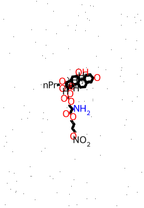 CCCC1O[C@@H]2C[C@H]3[C@@H]4CCC5=CC(=O)C=C[C@]5(C)[C@H]4[C@@H](O)C[C@]3(C)[C@]2(C(=O)COC(=O)OCC(N)C(=O)OCCCCO[N+](=O)[O-])O1